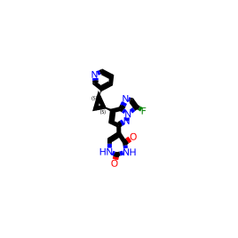 O=c1[nH]cc(-c2cc([C@H]3C[C@@H]3c3cccnc3)c3ncc(F)n3n2)c(=O)[nH]1